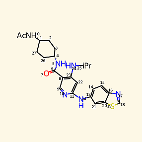 CC(=O)N[C@H]1CC[C@H](NC(=O)c2cnc(Nc3ccc4ncsc4c3)cc2NC(C)C)CC1